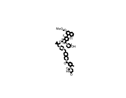 CCc1cccc2cc(OCOC)cc(-c3ccc4c(N5CCC[C@@](C)(O)C5)nc(OCC5(CN6CCN(CC7CCC8(CC7)CCN(C(=O)c7ccc(C)c(N9CCC(=O)NC9=O)c7)CC8)CC6)CC5)nc4c3F)c12